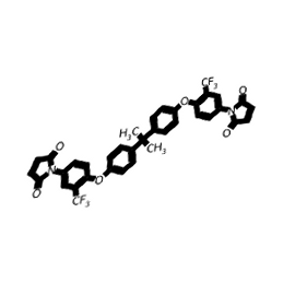 CC(C)(c1ccc(Oc2ccc(N3C(=O)C=CC3=O)cc2C(F)(F)F)cc1)c1ccc(Oc2ccc(N3C(=O)C=CC3=O)cc2C(F)(F)F)cc1